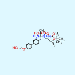 CCCCN(C(=O)ONC(=O)OC(C)(C)C)C(N)(Cc1ccc(-c2ccc(OCCO)cc2)cc1)C(C)(O)O